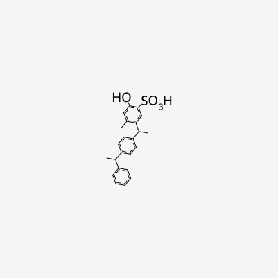 Cc1cc(O)c(S(=O)(=O)O)cc1C(C)c1ccc(C(C)c2ccccc2)cc1